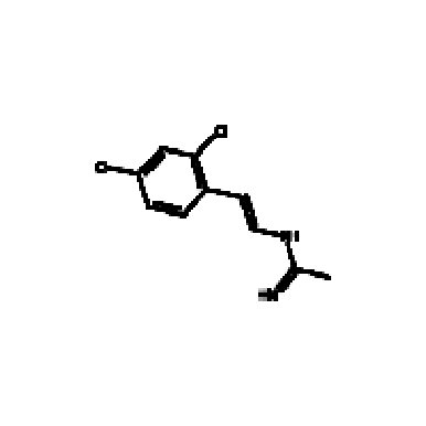 CC(=N)NC=Cc1ccc(Cl)cc1Cl